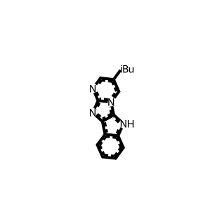 CCC(C)c1cnc2nc3c4ccccc4[nH]c3n2c1